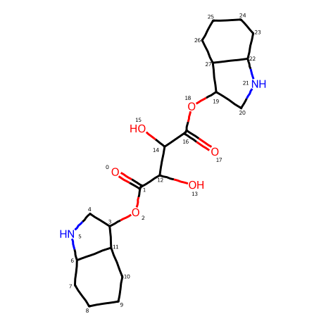 O=C(OC1CNC2CCCCC21)C(O)C(O)C(=O)OC1CNC2CCCCC21